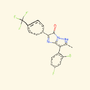 Cc1nn2c(c1-c1ccc(F)cc1F)N=C(c1ccc(C(F)(F)F)cc1)C2=O